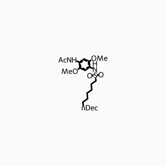 CCCCCCCCCCCCCCCCS(=O)(=O)Nc1cc(OC)c(NC(C)=O)cc1OC